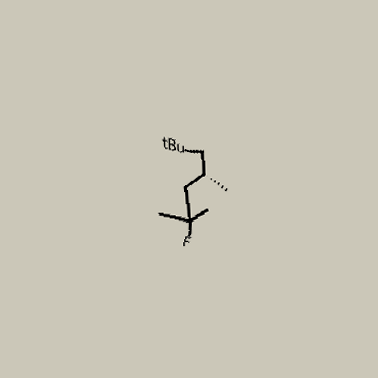 C[C@@H](CC(C)(C)C)CC(C)(C)F